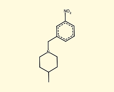 CC1CCN(Cc2cccc([N+](=O)[O-])c2)CC1